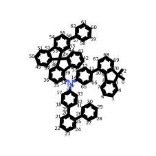 CC1(C)c2ccccc2-c2c(-c3ccc(N(c4ccc(-c5ccccc5-c5ccccc5)cc4)c4cccc5c4-c4ccccc4C54c5ccccc5-c5ccc(-c6ccccc6)cc54)cc3)cccc21